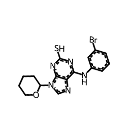 Sc1nc(Nc2cccc(Br)c2)c2ncn(C3CCCCO3)c2n1